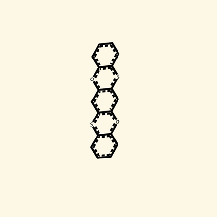 c1ccc2sc3cc4oc5ccccc5sc4cc3oc2c1